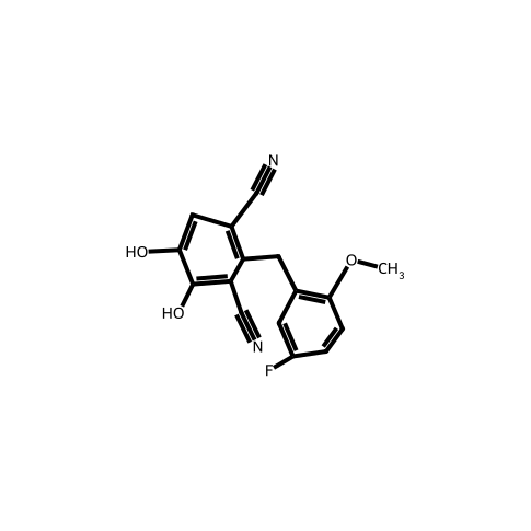 COc1ccc(F)cc1Cc1c(C#N)cc(O)c(O)c1C#N